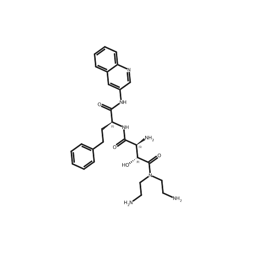 NCCN(CCN)C(=O)[C@H](O)[C@H](N)C(=O)N[C@@H](CCc1ccccc1)C(=O)Nc1cnc2ccccc2c1